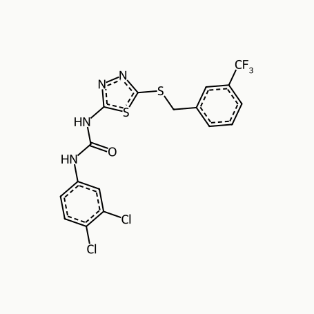 O=C(Nc1ccc(Cl)c(Cl)c1)Nc1nnc(SCc2cccc(C(F)(F)F)c2)s1